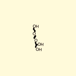 OCCOC=COCC(O)CO